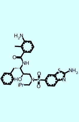 Cc1c(N)cccc1C(=O)N[C@@H](Cc1ccccc1)[C@H](O)CN(CC(C)C)S(=O)(=O)c1ccc2nc(N)sc2c1